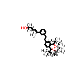 C/C(=C\C=C\C(C)(C)O)c1cccc(CCc2ccc(C(O[SiH](C)C)C(C)(C)C)c(C(O[SiH](C)C)C(C)(C)C)c2)c1